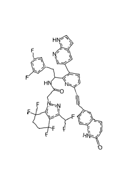 O=C(Cn1nc(C(F)F)c2c1C(F)(F)CCC2(F)F)NC(Cc1cc(F)cc(F)c1)c1nc(C#Cc2ccc3[nH]c(=O)ccc3c2)ccc1-c1cnc2[nH]ccc2c1